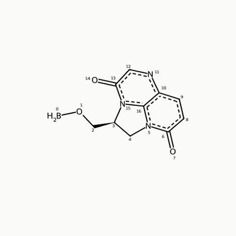 BOC[C@@H]1Cn2c(=O)ccc3ncc(=O)n1c32